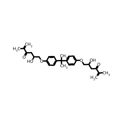 C=C(C)C(=O)CC(O)COc1ccc(C(C)(C)c2ccc(OCC(O)CC(=O)C(=C)C)cc2)cc1